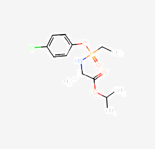 CCP(=O)(N[C@@H](C)C(=O)OC(C)C)Oc1ccc(Cl)cc1